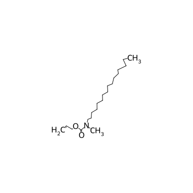 C=CCOC(=O)N(C)CCCCCCCCCCCCCCCC